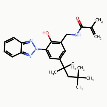 C=C(C)C(=O)NCc1cc(C(C)(C)CC(C)(C)C)cc(-n2nc3ccccc3n2)c1O